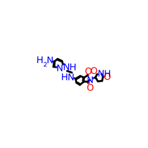 Nc1ccc(NCCNc2ccc3c(c2)C(=O)N(C2CCC(=O)NC2=O)C3=O)nc1